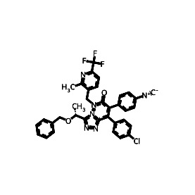 [C-]#[N+]c1ccc(-c2c(-c3ccc(Cl)cc3)c3nnc([C@@H](C)OCc4ccccc4)n3n(Cc3ccc(C(F)(F)F)nc3C)c2=O)cc1